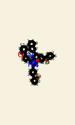 c1ccc2cc3c(cc2c1)c1ccccc1n3-c1c(-c2nc(-c3ccc4c(c3)sc3ccccc34)nc(-c3ccc4c(c3)sc3ccccc34)n2)ccc2oc3ccccc3c12